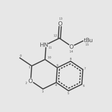 CC1OCc2ccccc2C1NC(=O)OC(C)(C)C